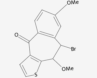 COc1ccc2c(c1)C(Br)C(OC)c1sccc1C2=O